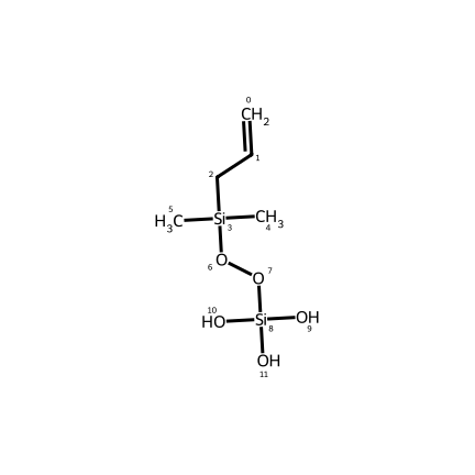 C=CC[Si](C)(C)OO[Si](O)(O)O